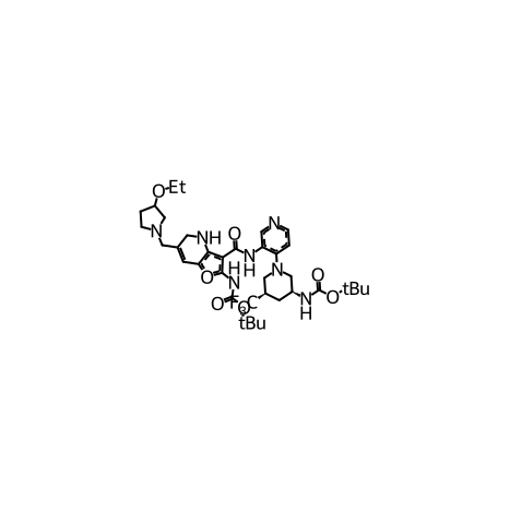 CCOC1CCN(CC2=Cc3oc(NC(=O)OC(C)(C)C)c(C(=O)Nc4cnccc4N4C[C@@H](NC(=O)OC(C)(C)C)C[C@@H](C(F)(F)F)C4)c3NC2)C1